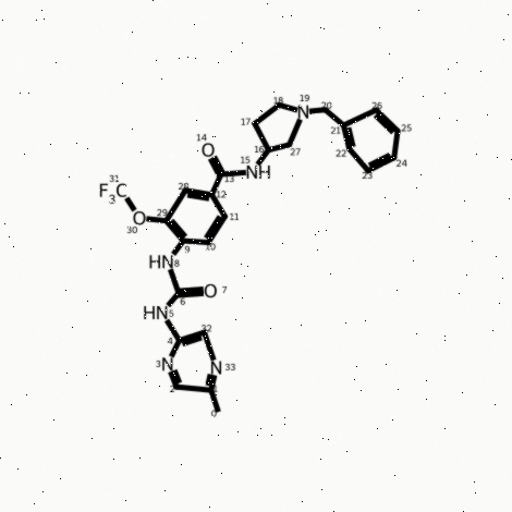 Cc1cnc(NC(=O)Nc2ccc(C(=O)NC3CCN(Cc4ccccc4)C3)cc2OC(F)(F)F)cn1